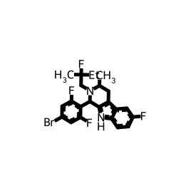 CCC(C)(F)CN1C(C)Cc2c([nH]c3ccc(F)cc23)C1c1c(F)cc(Br)cc1F